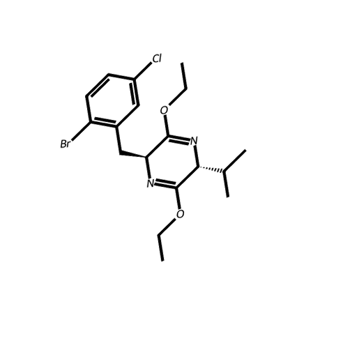 CCOC1=N[C@H](C(C)C)C(OCC)=N[C@H]1Cc1cc(Cl)ccc1Br